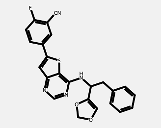 N#Cc1cc(-c2cc3ncnc(NC(Cc4ccccc4)C4=COCO4)c3s2)ccc1F